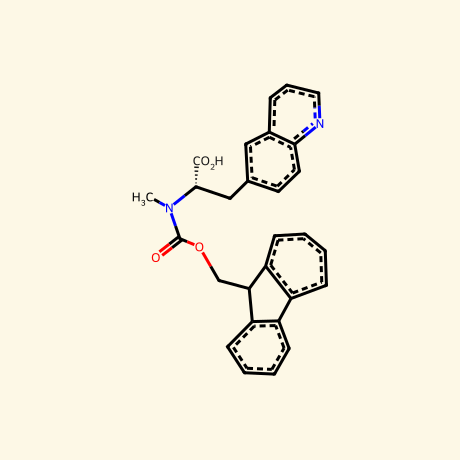 CN(C(=O)OCC1c2ccccc2-c2ccccc21)[C@@H](Cc1ccc2ncccc2c1)C(=O)O